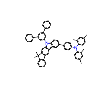 Cc1ccc(N(c2ccc(-c3ccc4c(c3)c3cc5c(cc3n4-c3cc(-c4ccccc4)cc(-c4ccccc4)c3)C(C)(C)c3ccccc3-5)cc2)c2ccc(C)cc2C)c(C)c1